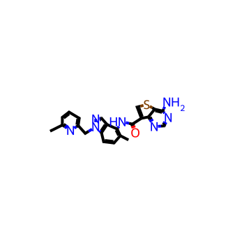 Cc1cccc(Cn2ncc3c(NC(=O)c4csc5c(N)ncnc45)c(C)ccc32)n1